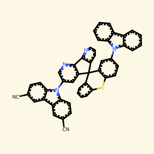 N#Cc1ccc2c(c1)c1cc(C#N)ccc1n2-c1cnc2c(c1)C1(c3ccccc3Sc3ccc(-n4c5ccccc5c5ccccc54)cc31)c1cccnc1-2